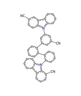 N#Cc1cc(-c2ccccc2-c2ccccc2-n2c3ccccc3c3cccc(C#N)c32)cc(-n2c3ccccc3c3cc(C#N)ccc32)c1